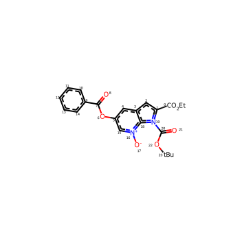 CCOC(=O)c1cc2cc(OC(=O)c3ccccc3)c[n+]([O-])c2n1C(=O)OC(C)(C)C